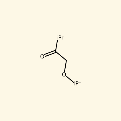 CC(C)OCC(=O)C(C)C